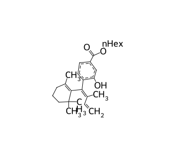 C=CC(C)=C(C1=C(C)CCCC1(C)C)c1ccc(C(=O)OCCCCCC)cc1O